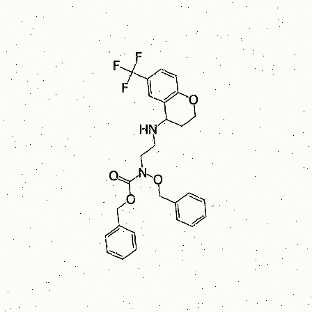 O=C(OCc1ccccc1)N(CCNC1CCOc2ccc(C(F)(F)F)cc21)OCc1ccccc1